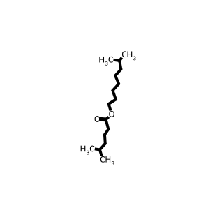 CC(C)CCCCCCOC(=O)CCCC(C)C